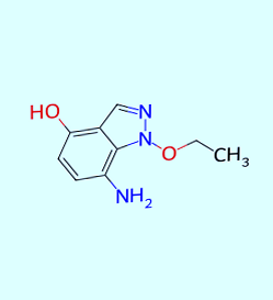 CCOn1ncc2c(O)ccc(N)c21